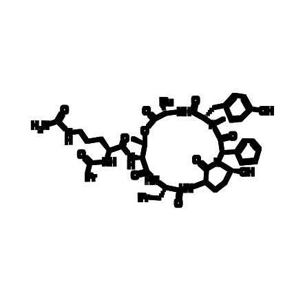 CCC(C)[C@@H]1NC(=O)[C@H](Cc2ccc(O)cc2)N(C)C(=O)C(c2ccccc2)N2C(=O)C(CC[C@@H]2O)NC(=O)[C@H](CC(C)C)NC(=O)[C@@H](NC(=O)[C@H](CCCNC(N)=O)NC(=O)C(C)C)[C@@H](C)OC1=O